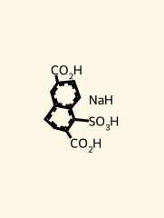 O=C(O)c1ccc2c(S(=O)(=O)O)c(C(=O)O)ccc2c1.[NaH]